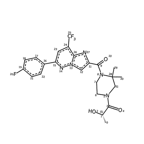 C[C@H](O)C(=O)N1CCN(C(=O)c2cn3nc(-c4ccc(F)cc4)cc(C(F)(F)F)c3n2)C(C)(C)C1